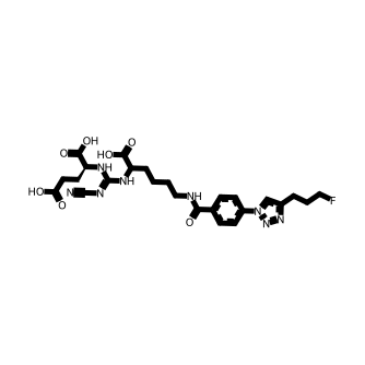 N#C/N=C(/NC(CCCCNC(=O)c1ccc(-n2cc(CCCF)nn2)cc1)C(=O)O)N[C@@H](CCC(=O)O)C(=O)O